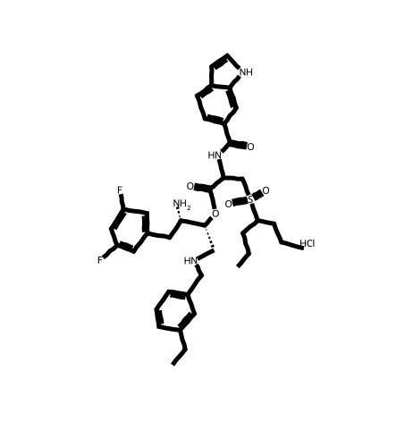 CCCC(CCC)S(=O)(=O)CC(NC(=O)c1ccc2cc[nH]c2c1)C(=O)O[C@H](CNCc1cccc(CC)c1)[C@@H](N)Cc1cc(F)cc(F)c1.Cl